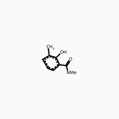 CNC(=O)c1cccc(C)c1O